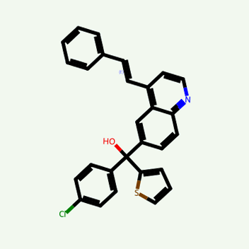 OC(c1ccc(Cl)cc1)(c1ccc2nccc(/C=C/c3ccccc3)c2c1)c1cccs1